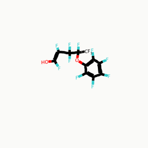 OC(F)=C(F)C(F)(F)C(F)(Oc1c(F)c(F)c(F)c(F)c1F)C(F)(F)F